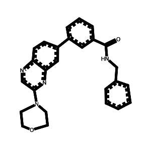 O=C(NCc1ccccc1)c1cccc(-c2ccc3ncc(N4CCOCC4)nc3c2)c1